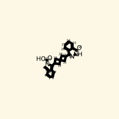 O=C(O)n1cc2ccccc2c1C1CC2(CC(c3n[nH]c(=O)c4ccccc34)C2)C1